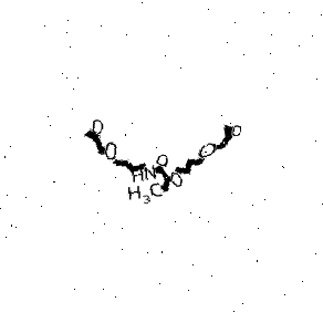 CCC(OCCCCOCC1CO1)C(=O)NCCCCOCC1CO1